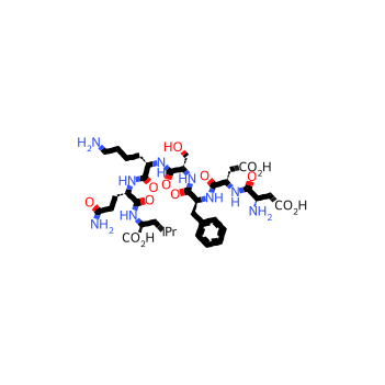 CC(C)C[C@H](NC(=O)[C@H](CCC(N)=O)NC(=O)[C@H](CCCCN)NC(=O)[C@H](CO)NC(=O)[C@H](Cc1ccccc1)NC(=O)[C@H](CC(=O)O)NC(=O)[C@@H](N)CC(=O)O)C(=O)O